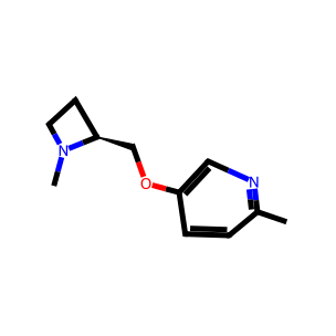 Cc1ccc(OC[C@@H]2CCN2C)cn1